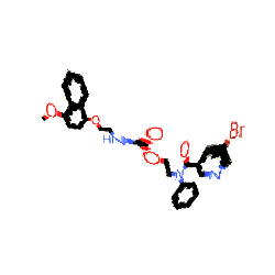 COc1ccc(OCCNC(=O)OCCN(C(=O)c2cncc(Br)c2)c2ccccc2)c2ccccc12